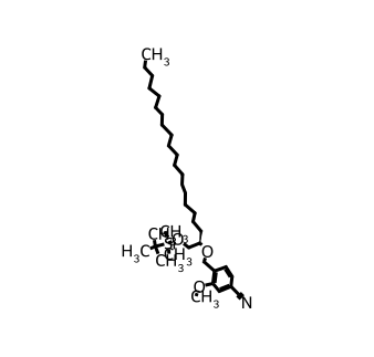 CCCCCCCCCCCCCCCCCCC[C@H](CO[Si](C)(C)C(C)(C)C)OCc1ccc(C#N)cc1OC